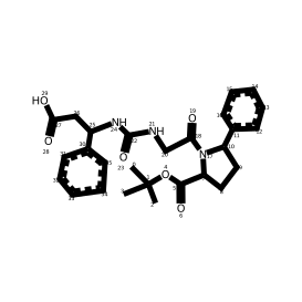 CC(C)(C)OC(=O)C1CCC(c2ccccc2)N1C(=O)CNC(=O)NC(CC(=O)O)c1ccccc1